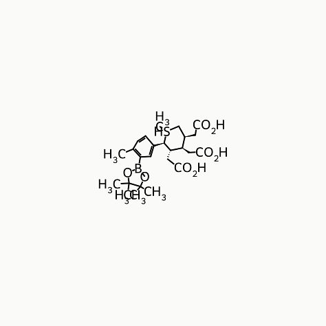 Cc1ccc([C@@H]2[C@@H](CC(=O)O)[C@H](CC(=O)O)[C@H](CC(=O)O)C[SH]2C)cc1B1OC(C)(C)C(C)(C)O1